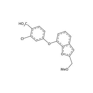 COCc1cc2cccc(Oc3ccc(C(=O)O)c(Cl)c3)c2o1